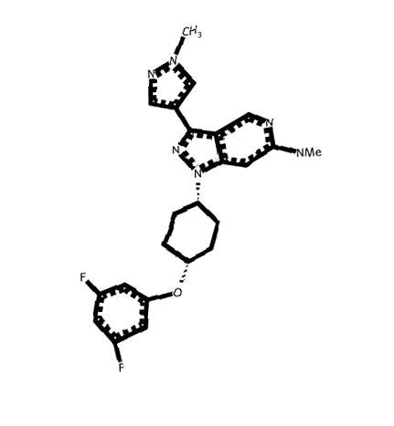 CNc1cc2c(cn1)c(-c1cnn(C)c1)nn2[C@H]1CC[C@@H](Oc2cc(F)cc(F)c2)CC1